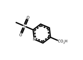 CS(=O)(=O)c1ccc(C(=O)O)cn1